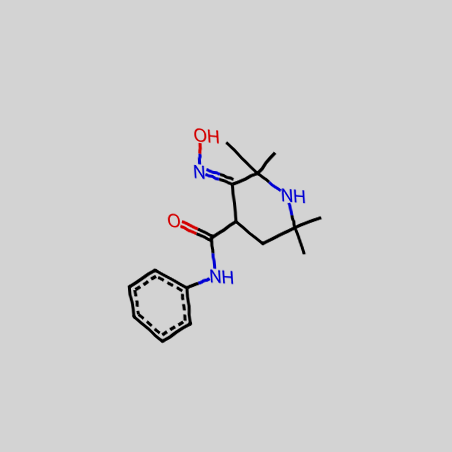 CC1(C)CC(C(=O)Nc2ccccc2)/C(=N/O)C(C)(C)N1